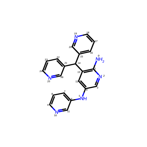 Nc1ncc(Nc2cccnc2)cc1C(c1cccnc1)c1cccnc1